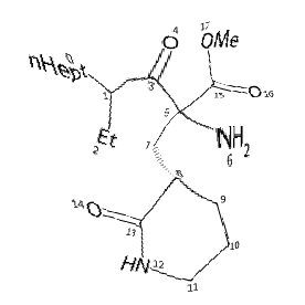 CCCCCCCC(CC)C(=O)C(N)(C[C@@H]1CCCNC1=O)C(=O)OC